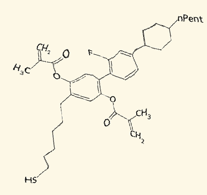 C=C(C)C(=O)Oc1cc(-c2ccc(C3CCC(CCCCC)CC3)cc2F)c(OC(=O)C(=C)C)cc1CCCCCCS